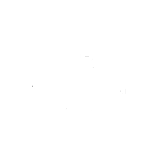 C.Cc1ccc(Cl)cc1